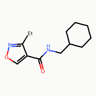 CCc1nocc1C(=O)NCC1CCCCC1